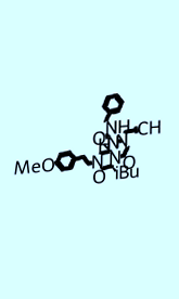 C#CCN1CC(=O)N2[C@@H](C(C)CC)C(=O)N(CCc3ccc(OC)cc3)C[C@@H]2N1C(=O)NCc1ccccc1